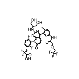 Cc1ccc(NC(=O)COCC(F)(F)F)cc1-c1nc(NC(CO)CO)nc2c1ccc(=O)n2-c1c(F)cccc1F.O=C(O)C(F)(F)F